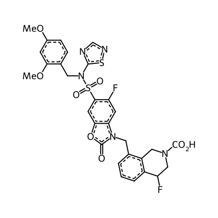 COc1ccc(CN(c2ncns2)S(=O)(=O)c2cc3oc(=O)n(Cc4cccc5c4CN(C(=O)O)CC5F)c3cc2F)c(OC)c1